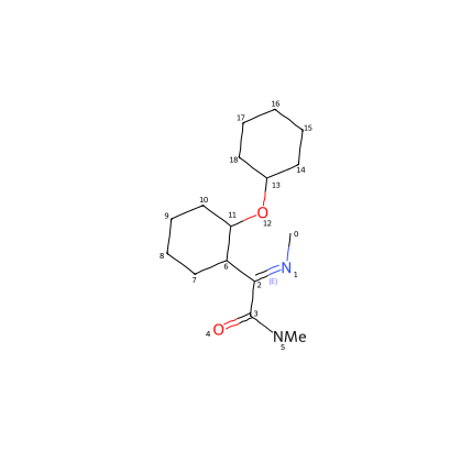 C/N=C(/C(=O)NC)C1CCCCC1OC1CCCCC1